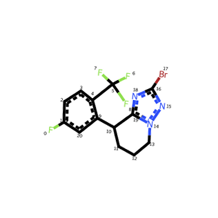 Fc1ccc(C(F)(F)F)c(C2CCCn3nc(Br)nc32)c1